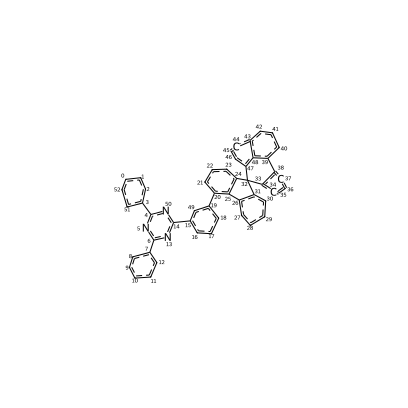 c1ccc(-c2nc(-c3ccccc3)nc(-c3cccc(-c4cccc5c4-c4ccccc4C54c5ccccc5-c5cccc6cccc4c56)c3)n2)cc1